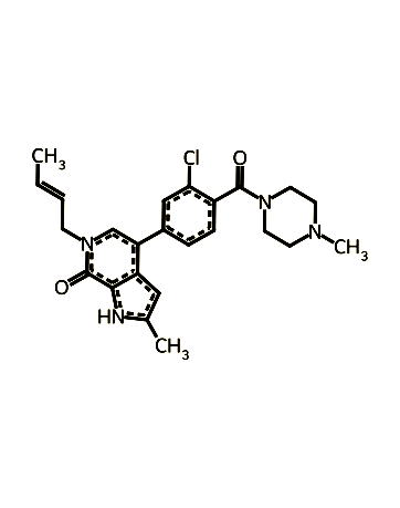 C/C=C/Cn1cc(-c2ccc(C(=O)N3CCN(C)CC3)c(Cl)c2)c2cc(C)[nH]c2c1=O